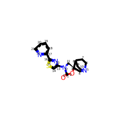 O=C1O[C@]2(CN3CCC2CC3)CN1c1csc(-c2ccccn2)n1